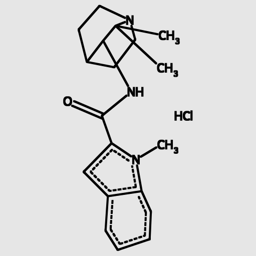 Cl.Cn1c(C(=O)NC2C3CCN(CC3)C2(C)C)cc2ccccc21